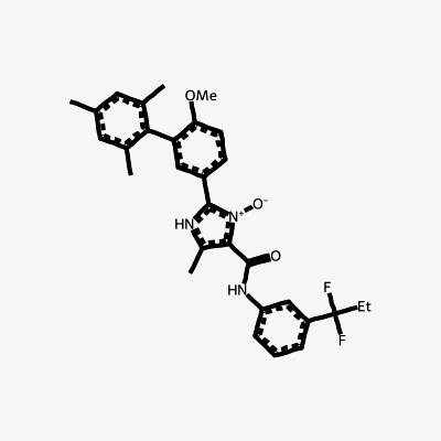 CCC(F)(F)c1cccc(NC(=O)c2c(C)[nH]c(-c3ccc(OC)c(-c4c(C)cc(C)cc4C)c3)[n+]2[O-])c1